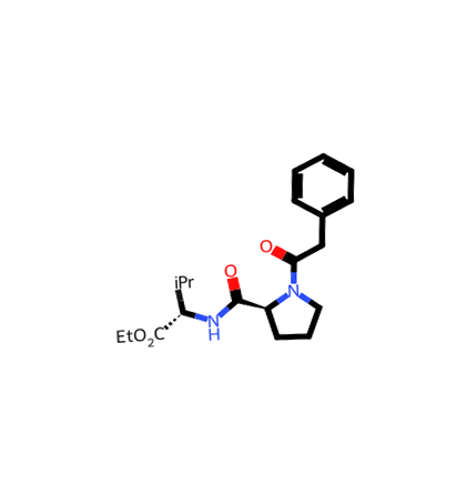 CCOC(=O)[C@@H](NC(=O)[C@@H]1CCCN1C(=O)Cc1ccccc1)C(C)C